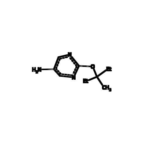 CCC(C)(CC)Oc1ncc(N)cn1